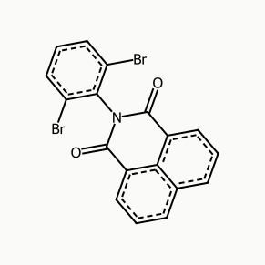 O=C1c2cccc3cccc(c23)C(=O)N1c1c(Br)cccc1Br